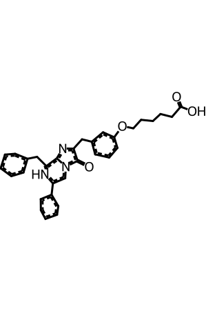 O=C(O)CCCCCOc1cccc(Cc2nc3c(Cc4ccccc4)[nH]c(-c4ccccc4)cn-3c2=O)c1